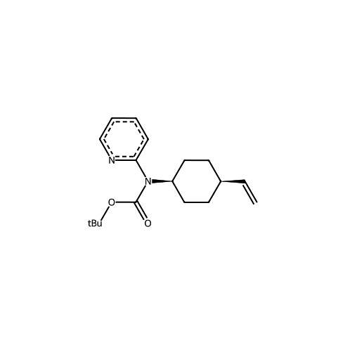 C=C[C@H]1CC[C@@H](N(C(=O)OC(C)(C)C)c2ccccn2)CC1